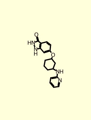 O=c1[nH][nH]c2cc(OC3CCCC(Nc4ccccn4)C3)ccc12